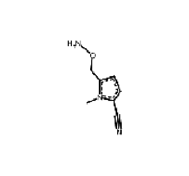 Cn1c(C#N)ccc1CON